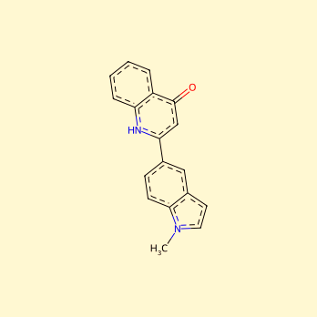 Cn1ccc2cc(-c3cc(=O)c4ccccc4[nH]3)ccc21